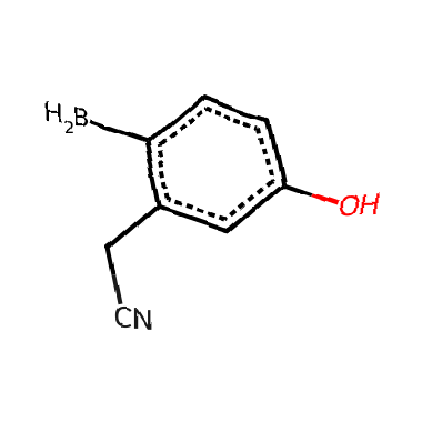 Bc1ccc(O)cc1CC#N